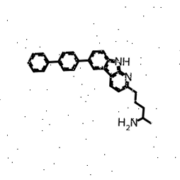 CC(N)CCCc1ccc2c(n1)[nH]c1ccc(-c3ccc(-c4ccccc4)cc3)cc12